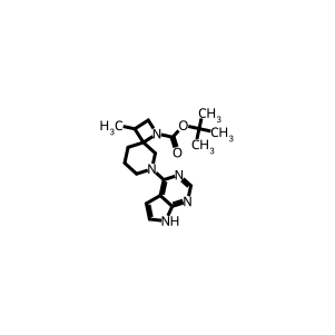 CC1CN(C(=O)OC(C)(C)C)C12CCCN(c1ncnc3[nH]ccc13)C2